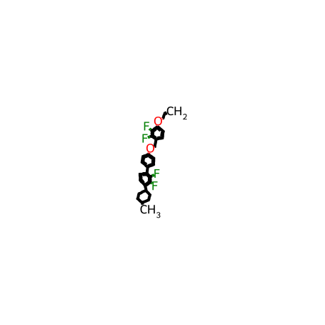 C=CCOc1ccc(COc2ccc(-c3ccc(C4CCC(C)CC4)c(F)c3F)cc2)c(F)c1F